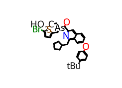 CC(C)(C)c1ccc(Oc2ccc3cc(C(=O)[As](CC(=O)O)Cc4ccc(Br)s4)nc(CC4CCCC4)c3c2)cc1